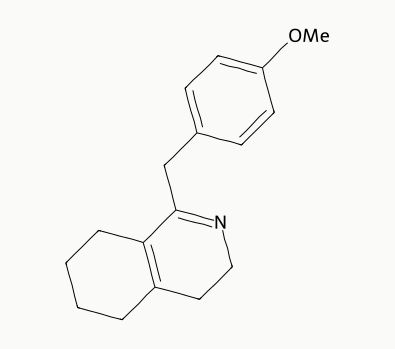 COc1ccc(CC2=NCCC3=C2CCCC3)cc1